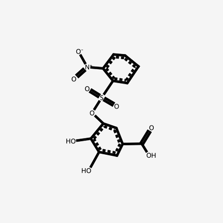 O=C(O)c1cc(O)c(O)c(OS(=O)(=O)c2ccccc2[N+](=O)[O-])c1